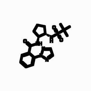 CC(C)(C)S(=O)(=O)N[C@H]1CCC[C@@H]1NC(=O)c1ccccc1-n1nccn1